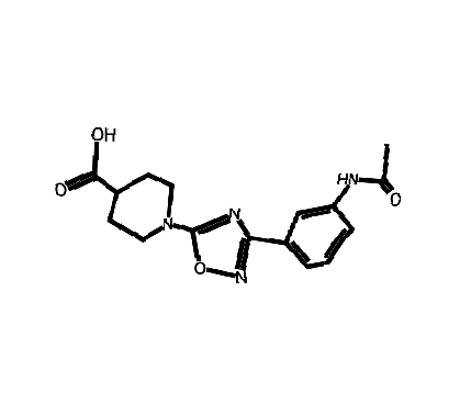 CC(=O)Nc1cccc(-c2noc(N3CCC(C(=O)O)CC3)n2)c1